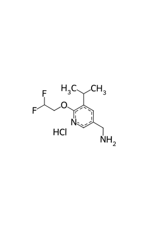 CC(C)c1cc(CN)cnc1OCC(F)F.Cl